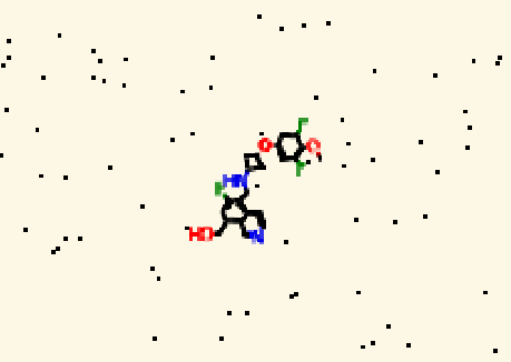 COc1c(F)cc(O[C@H]2C[C@H](NCc3c(F)cc(CO)c4cnccc34)C2)cc1F